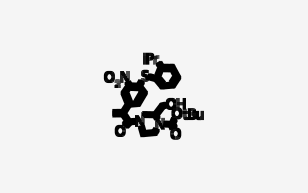 C=C(C(=O)N1CCN(C(=O)OC(C)(C)C)C(CO)C1)c1ccc(Sc2ccccc2C(C)C)c([N+](=O)[O-])c1